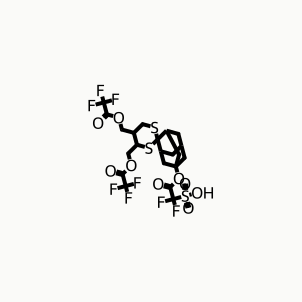 O=C(OCC1CSC2(SC1COC(=O)C(F)(F)F)C1CC3CC2CC(OC(=O)C(F)(F)S(=O)(=O)O)(C3)C1)C(F)(F)F